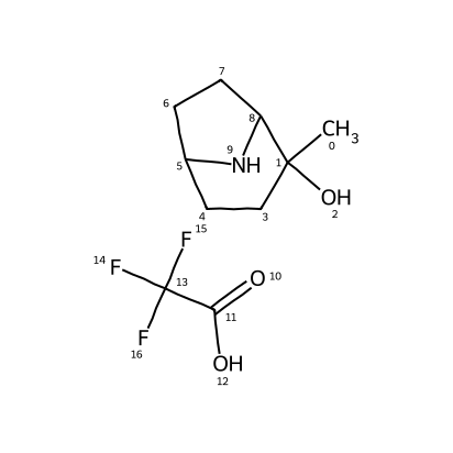 CC1(O)CCC2CCC1N2.O=C(O)C(F)(F)F